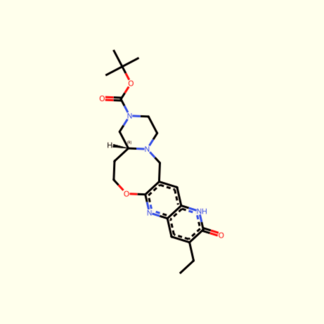 CCc1cc2nc3c(cc2[nH]c1=O)CN1CCN(C(=O)OC(C)(C)C)C[C@H]1CCO3